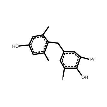 Cc1cc(O)cc(C)c1Cc1cc(I)c(O)c(C(C)C)c1